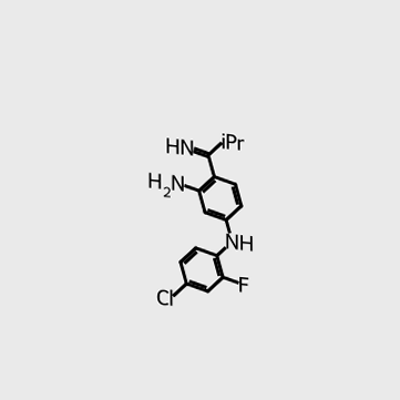 CC(C)C(=N)c1ccc(Nc2ccc(Cl)cc2F)cc1N